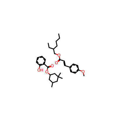 CC1CC(OC(=O)c2ccccc2O)CC(C)(C)C1.CCCCC(CC)COC(=O)/C=C/c1ccc(OC)cc1